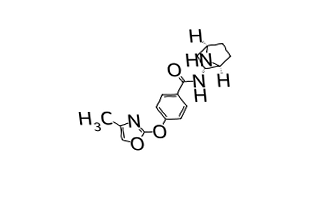 Cc1coc(Oc2ccc(C(=O)N[C@@H]3C[C@H]4CC[C@@H]3N4)cc2)n1